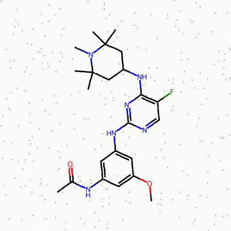 COc1cc(NC(C)=O)cc(Nc2ncc(F)c(NC3CC(C)(C)N(C)C(C)(C)C3)n2)c1